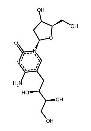 Nc1nc(=O)n([C@H]2CC(O)[C@@H](CO)O2)cc1C[C@H](O)[C@@H](O)CO